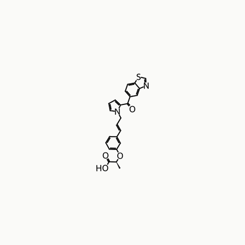 C[C@H](Oc1cccc(/C=C/Cn2cccc2C(=O)c2ccc3scnc3c2)c1)C(=O)O